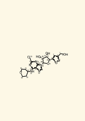 OCc1cc([C@H]2O[C@@H](n3cnc4c(NC5CCOCC5)nc(Cl)nc43)[C@H](O)[C@@H]2O)on1